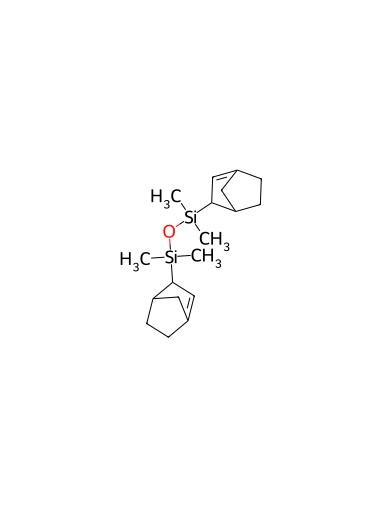 C[Si](C)(O[Si](C)(C)C1C=C2CCC1C2)C1C=C2CCC1C2